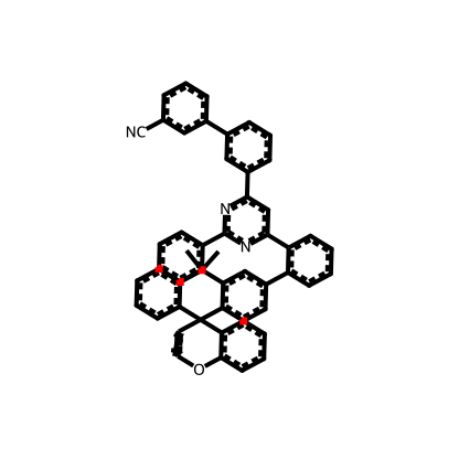 CC1(C)c2ccccc2C2(c3ccccc3Oc3ccccc32)c2ccc(-c3ccccc3-c3cc(-c4cccc(-c5cccc(C#N)c5)c4)nc(-c4ccccc4)n3)cc21